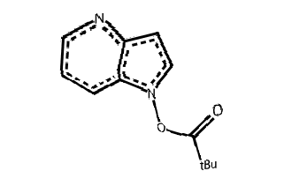 CC(C)(C)C(=O)On1ccc2ncccc21